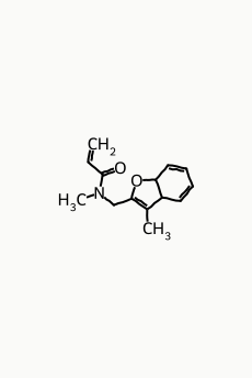 C=CC(=O)N(C)CC1=C(C)C2C=CC=CC2O1